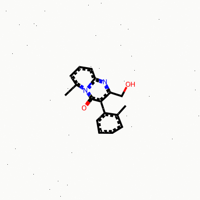 Cc1ccccc1-c1c(CO)nc2cccc(C)n2c1=O